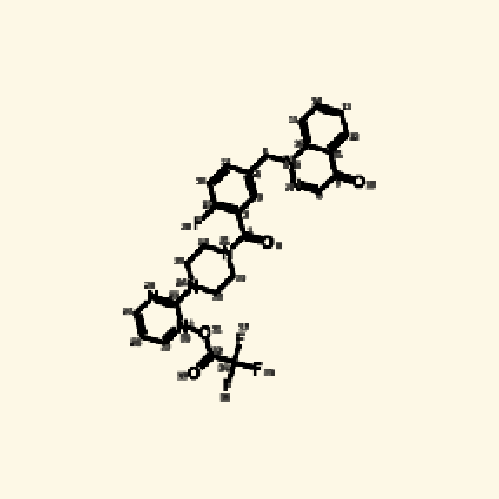 O=C(c1cc(Cn2ncc(=O)c3ccccc32)ccc1F)N1CCN(c2nccc[n+]2OC(=O)C(F)(F)F)CC1